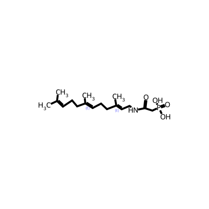 CC(C)=CCC/C(C)=C/CC/C(C)=C/CNC(=O)CP(=O)(O)O